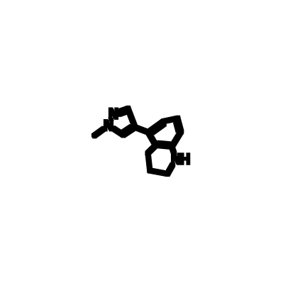 Cn1cc(-c2cccc3c2CCCN3)cn1